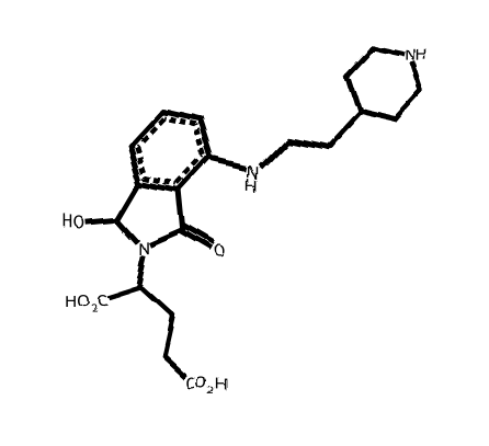 O=C(O)CCC(C(=O)O)N1C(=O)c2c(NCCC3CCNCC3)cccc2C1O